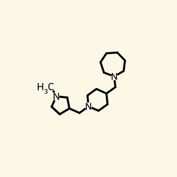 CN1CCC(CN2CCC(CN3CCCCCC3)CC2)C1